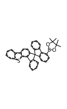 CC1(C)OB(c2cccc3c2-c2ccccc2C32c3ccccc3-c3c2ccc2c3sc3ccccc32)OC1(C)C